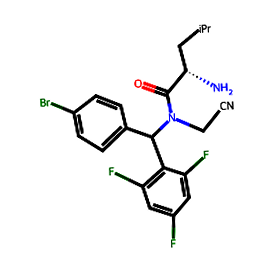 CC(C)C[C@H](N)C(=O)N(CC#N)C(c1ccc(Br)cc1)c1c(F)cc(F)cc1F